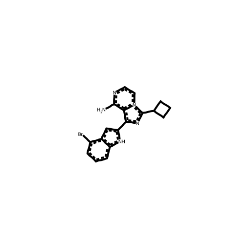 Nc1nccn2c(C3CCC3)nc(-c3cc4c(Br)cccc4[nH]3)c12